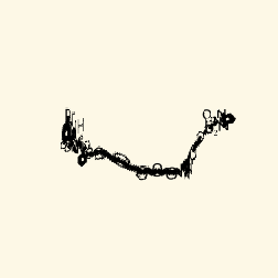 COc1ccc(Br)c2[nH]cc(C(=O)N3CCN(C(=O)c4ccccc4OCCOCCOCCOCCOCCOCCn4cc(COCCOCCOCCNc5c([N+](=O)[O-])cccc5[N+](=O)[O-])nn4)CC3)c12